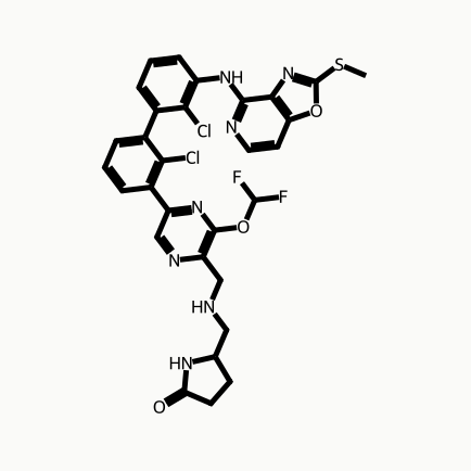 CSc1nc2c(Nc3cccc(-c4cccc(-c5cnc(CNCC6CCC(=O)N6)c(OC(F)F)n5)c4Cl)c3Cl)nccc2o1